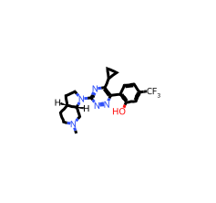 CN1CC[C@@H]2CCN(c3nnc(-c4ccc(C(F)(F)F)cc4O)c(C4CC4)n3)[C@@H]2C1